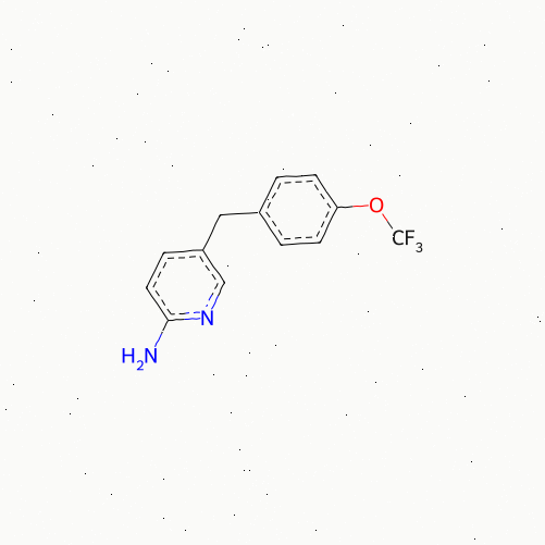 Nc1ccc(Cc2ccc(OC(F)(F)F)cc2)cn1